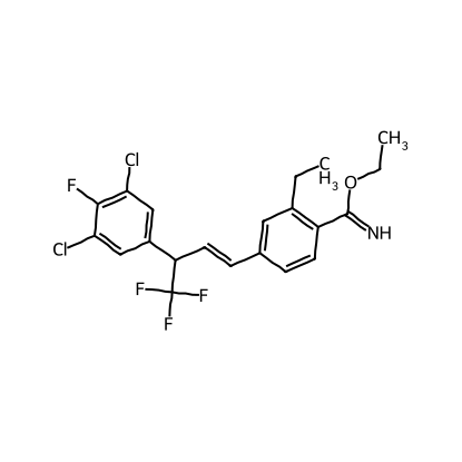 CCOC(=N)c1ccc(/C=C/C(c2cc(Cl)c(F)c(Cl)c2)C(F)(F)F)cc1CC